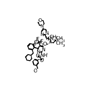 Cc1cccc(CC2CCCCC2)c1-c1nc(NS(=O)(=O)c2cccc(C=O)c2)nc(OC[C@@H](CC(C)(C)C)N(C)Cc2ncc(N3CCOCC3)cn2)c1C(F)(F)F